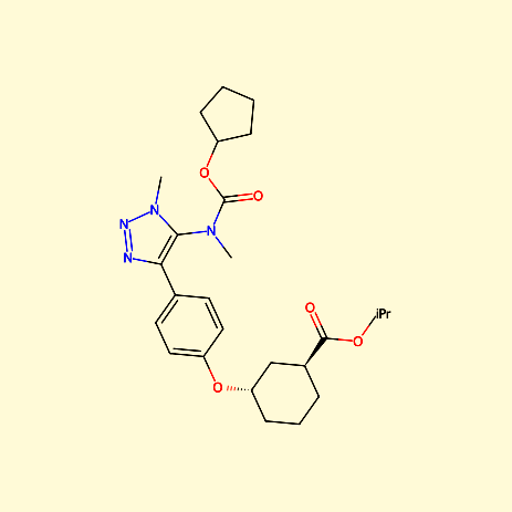 CC(C)OC(=O)[C@H]1CCC[C@H](Oc2ccc(-c3nnn(C)c3N(C)C(=O)OC3CCCC3)cc2)C1